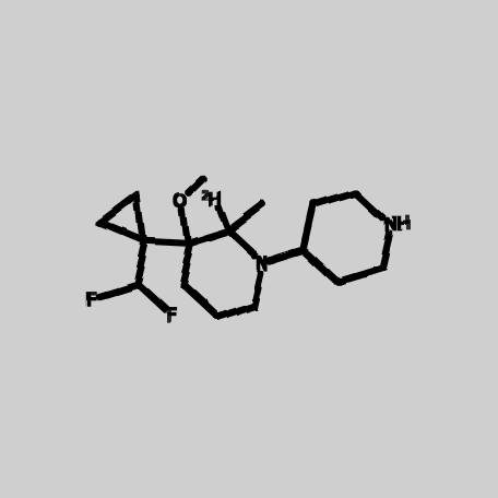 [2H]C1(C)N(C2CCNCC2)CCCC1(OC)C1(C(F)F)CC1